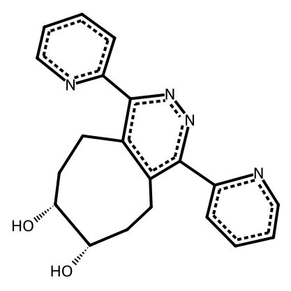 O[C@@H]1CCc2c(-c3ccccn3)nnc(-c3ccccn3)c2CC[C@@H]1O